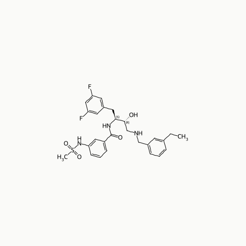 CCc1cccc(CNC[C@@H](O)[C@H](Cc2cc(F)cc(F)c2)NC(=O)c2cccc(NS(C)(=O)=O)c2)c1